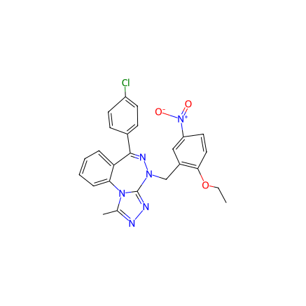 CCOc1ccc([N+](=O)[O-])cc1CN1N=C(c2ccc(Cl)cc2)c2ccccc2-n2c(C)nnc21